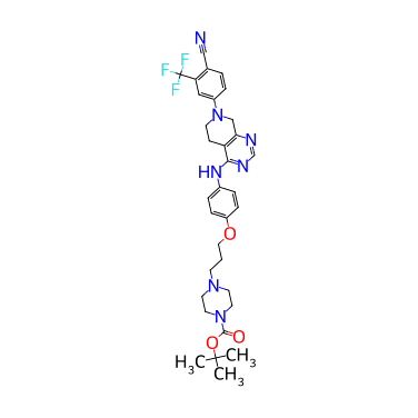 CC(C)(C)OC(=O)N1CCN(CCCOc2ccc(Nc3ncnc4c3CCN(c3ccc(C#N)c(C(F)(F)F)c3)C4)cc2)CC1